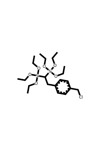 CCO[Si](OCC)(OCC)C(Cc1ccc(CCl)cc1)[Si](OCC)(OCC)OCC